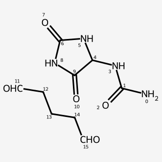 NC(=O)NC1NC(=O)NC1=O.O=CCCCC=O